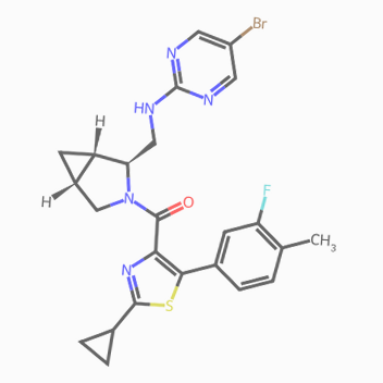 Cc1ccc(-c2sc(C3CC3)nc2C(=O)N2C[C@@H]3C[C@@H]3[C@H]2CNc2ncc(Br)cn2)cc1F